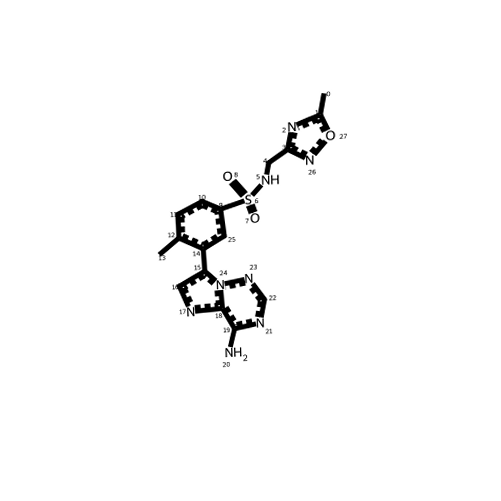 Cc1nc(CNS(=O)(=O)c2ccc(C)c(-c3cnc4c(N)ncnn34)c2)no1